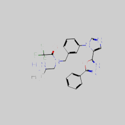 CC(N)CN(Cc1cccc(-n2cncc2-c2nnc(-c3ccccc3)o2)c1)C(=O)C(F)(F)F